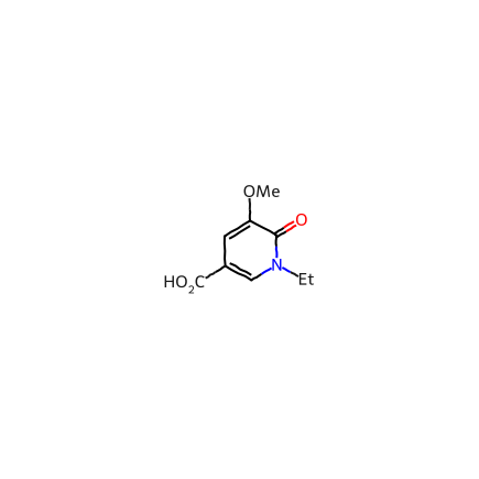 CCn1cc(C(=O)O)cc(OC)c1=O